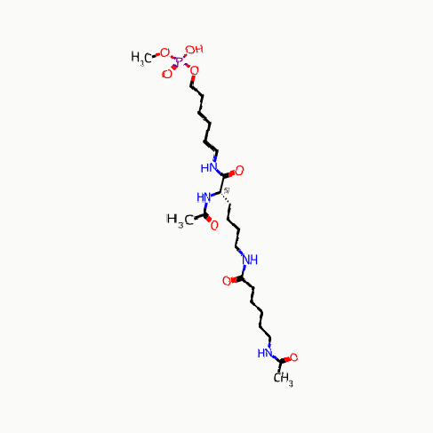 COP(=O)(O)OCCCCCCNC(=O)[C@H](CCCCNC(=O)CCCCCNC(C)=O)NC(C)=O